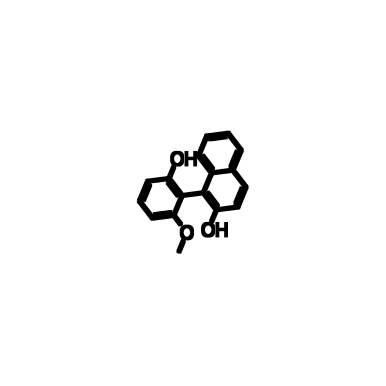 COc1cccc(O)c1-c1c(O)ccc2ccccc12